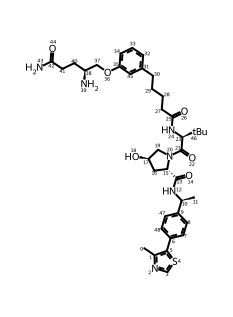 Cc1ncsc1-c1ccc([C@H](C)NC(=O)[C@@H]2C[C@@H](O)CN2C(=O)[C@@H](NC(=O)CCCCc2cccc(OC[C@@H](N)CCC(N)=O)c2)C(C)(C)C)cc1